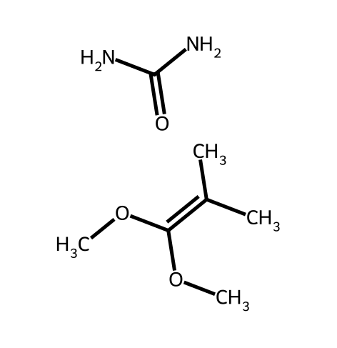 COC(OC)=C(C)C.NC(N)=O